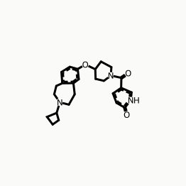 O=C(c1ccc(=O)[nH]c1)N1CCC(Oc2ccc3c(c2)CCN(C2CCC2)CC3)CC1